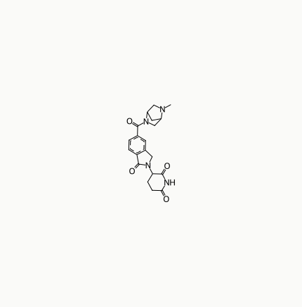 CN1CC2CC1CN2C(=O)c1ccc2c(c1)CN(C1CCC(=O)NC1=O)C2=O